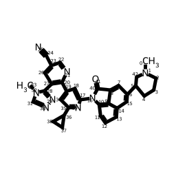 CN1CCCC(c2cc3c4c(cccc4c2)N(c2cc(-c4ncc(C#N)cc4-c4nncn4C)cc(C4CC4)n2)C3=O)C1